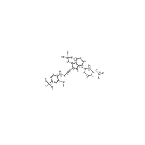 COc1cc(S(C)(=O)=O)ccc1NCC#Cc1nc2c([C@H]3COC[C@@H](CN(C)C)N3)cccn2c1CC(F)(F)F